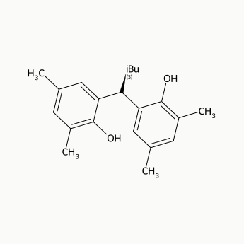 CC[C@H](C)C(c1cc(C)cc(C)c1O)c1cc(C)cc(C)c1O